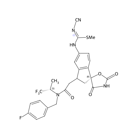 CS/C(=N\C#N)Nc1ccc2c(c1)C(CC(=O)N(Cc1ccc(F)cc1)[C@@H](C)C(F)(F)F)C[C@@]21OC(=O)NC1=O